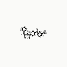 C[C@@H](NC(=S)NC1CCC(Nc2nccc(N(C)C)n2)CC1)c1ccccc1